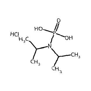 CC(C)N(C(C)C)P(=O)(O)O.Cl